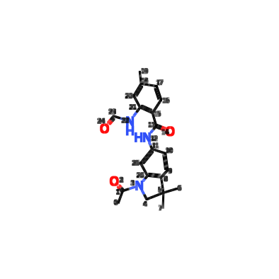 CC(=O)N1CC(C)(C)c2ccc(NC(=O)c3ccc(C)cc3NC=O)cc21